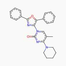 Cc1cn(-c2nc(-c3ccccc3)oc2-c2ccccc2)c(=O)nc1N1CCCCC1